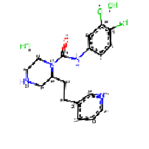 Cl.Cl.O=C(Nc1ccc(Cl)c(Cl)c1)N1CCNCC1CCc1cccnc1